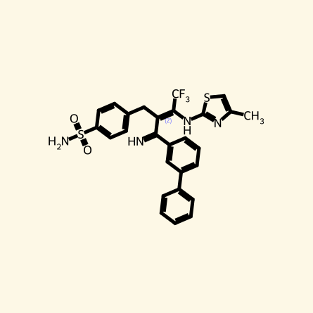 Cc1csc(N/C(=C(/Cc2ccc(S(N)(=O)=O)cc2)C(=N)c2cccc(-c3ccccc3)c2)C(F)(F)F)n1